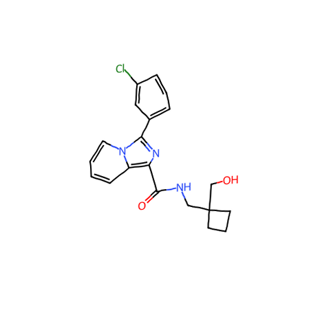 O=C(NCC1(CO)CCC1)c1nc(-c2cccc(Cl)c2)n2ccccc12